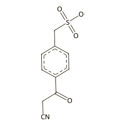 N#CCC(=O)c1ccc(CS([O])(=O)=O)cc1